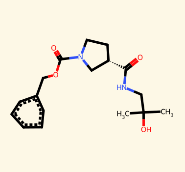 CC(C)(O)CNC(=O)[C@H]1CCN(C(=O)OCc2ccccc2)C1